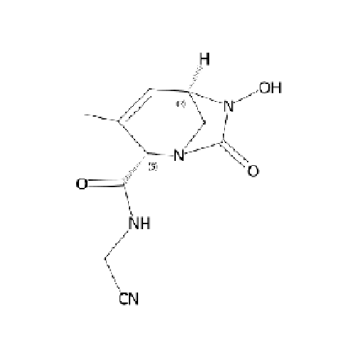 CC1=C[C@@H]2CN(C(=O)N2O)[C@@H]1C(=O)NCC#N